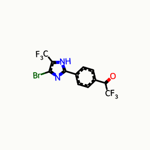 O=C(c1ccc(-c2nc(Br)c(C(F)(F)F)[nH]2)cc1)C(F)(F)F